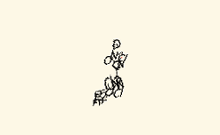 O=C(c1cc(-c2cnn(-c3c(Cl)cc(C(F)(C(F)(F)F)C(F)(F)F)cc3Cl)c2)cnc1Cl)N(CC1COC1)C1CC1